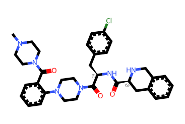 CN1CCN(C(=O)c2ccccc2N2CCN(C(=O)[C@@H](Cc3ccc(Cl)cc3)NC(=O)[C@@H]3Cc4ccccc4CN3)CC2)CC1